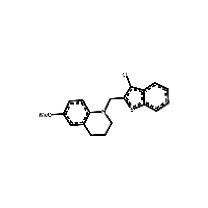 COc1ccc2c(c1)CCCN2Cc1sc2ccccc2c1Cl